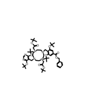 CC(C)(C)OC(=O)CN1CCN(Cc2c(OC(C)(C)C)cc(C(=O)OCc3ccccc3)cc2OC(C)(C)C)CCN(CC(=O)OC(C)(C)C)CCN(Cc2c(OC(C)(C)C)ncnc2OC(C)(C)C)CC1